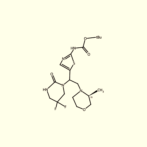 C[C@H]1COCCN1CC(c1cnc(NC(=O)OC(C)(C)C)s1)N1CC(F)(F)CNC1=O